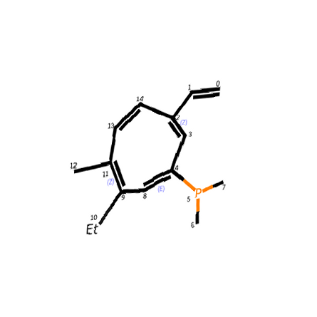 C=C/C1=C/C(P(C)C)=C\C(CC)=C(\C)C=C1